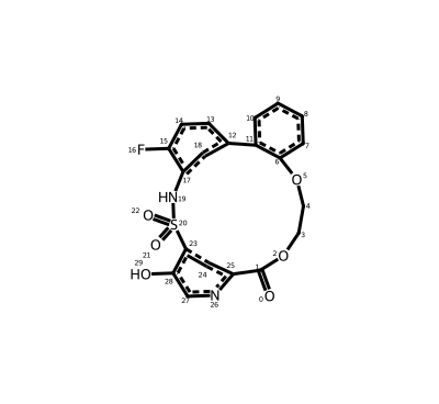 O=C1OCCOc2ccccc2-c2ccc(F)c(c2)NS(=O)(=O)c2cc1ncc2O